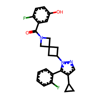 O=C(c1cc(O)ccc1F)N1CC2(CC(n3ncc(C4CC4)c3-c3ccccc3F)C2)C1